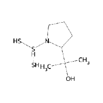 CC(C)(O)C1CCCN1[SH](S)S